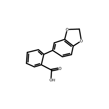 O=C(O)c1ccccc1-c1ccc2c(c1)OCO2